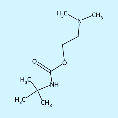 CN(C)CCOC(=O)NC(C)(C)C